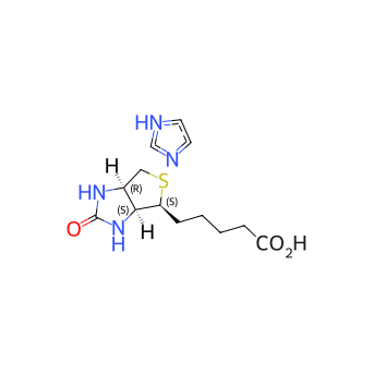 O=C(O)CCCC[C@@H]1SC[C@@H]2NC(=O)N[C@@H]21.c1c[nH]cn1